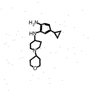 Nc1ccc(C2CC2)cc1NC1CCN(C2CCOCC2)CC1